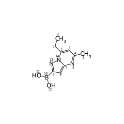 CCc1cc(C)nc2cc(B(O)O)nn12